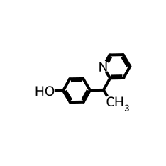 CC(c1ccc(O)cc1)c1ccccn1